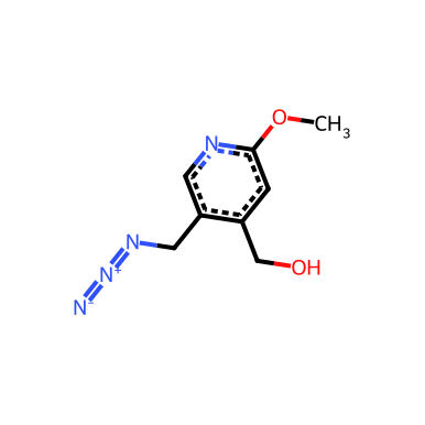 COc1cc(CO)c(CN=[N+]=[N-])cn1